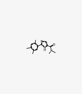 Cc1cc(C)c(-c2ncc(C(=O)N(C)C)[nH]2)cc1C